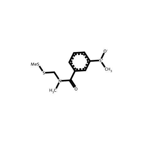 CSSCN(C)C(=O)c1cccc([S+](C)[O-])c1